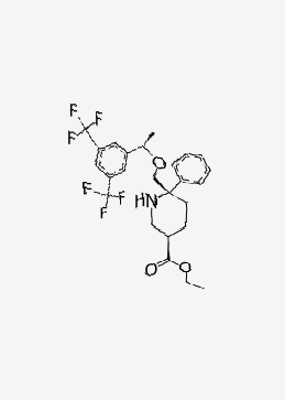 CCOC(=O)[C@@H]1CC[C@@](CO[C@H](C)c2cc(C(F)(F)F)cc(C(F)(F)F)c2)(c2ccccc2)NC1